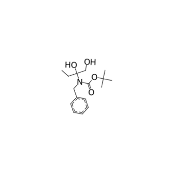 CCC(O)(CO)N(Cc1ccccc1)C(=O)OC(C)(C)C